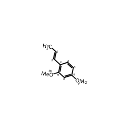 C/C=C/c1ccc(OC)cc1OC